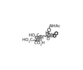 CC(=O)NCC1CCC(C(=O)N[C@@H](Cc2ccc3ccccc3c2)C(=O)NCCCC[C@H](NC(=O)N[C@@H](CCC(=O)O)C(=O)O)C(=O)O)CC1